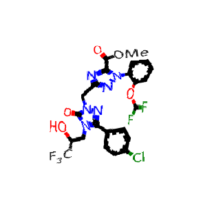 COC(=O)c1nc(Cn2nc(-c3ccc(Cl)cc3)n(C[C@H](O)C(F)(F)F)c2=O)nn1-c1ccccc1OC(F)F